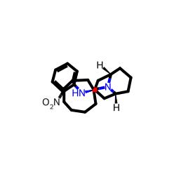 O=[N+]([O-])c1ccccc1N[C@@H]1C[C@H]2CCC[C@@H](C1)N2C1CCCCCCC1